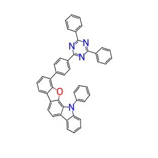 c1ccc(-c2nc(-c3ccccc3)nc(-c3ccc(-c4cccc5c4oc4c5ccc5c6ccccc6n(-c6ccccc6)c54)cc3)n2)cc1